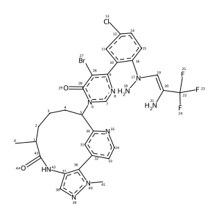 CC1CCCC(n2cnc(-c3cc(Cl)ccc3N(N)/C=C(\N)C(F)(F)F)c(Br)c2=O)c2cc(ccn2)-c2c(cnn2C)NC1=O